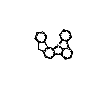 c1ccc2c(c1)Cc1ccc3c4cccc5c6ccccc6n(c3c1-2)c54